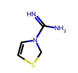 N=C(N)N1C=CSC1